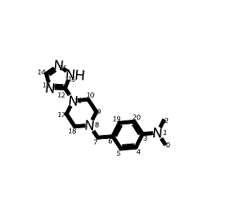 CN(C)c1ccc(CN2CCN(c3ncn[nH]3)CC2)cc1